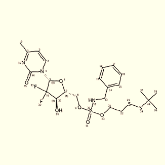 Cc1ccn([C@@H]2O[C@H](COP(=O)(NCc3ccccc3)OCCSSC(C)(C)C)[C@@H](O)C2(F)F)c(=O)n1